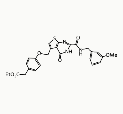 CCOC(=O)Cc1ccc(OCc2csc3nc(C(=O)NCc4cccc(OC)c4)[nH]c(=O)c23)cc1